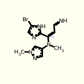 CN(/C(=C/C=N)c1ncc(Br)[nH]1)c1cnn(C)c1